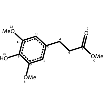 COC(=O)CCc1cc(OC)c(O)c(OC)c1